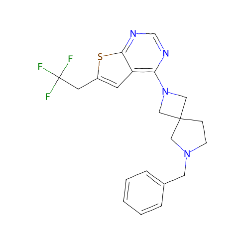 FC(F)(F)Cc1cc2c(N3CC4(CCN(Cc5ccccc5)C4)C3)ncnc2s1